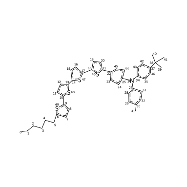 CCCCCCc1ccc(-c2ccc(-c3ccc(-c4ccc(-c5ccc(N(c6ccc(C)cc6)c6ccc(C(C)(C)C)cc6)cc5)s4)s3)s2)s1